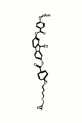 CCCCCCCCCOc1ccc(C(=O)Oc2ccc3c(c2)C(CC)c2cc(OC(=O)c4ccc(OCCCCOCC5CO5)cc4)ccc2-3)cc1